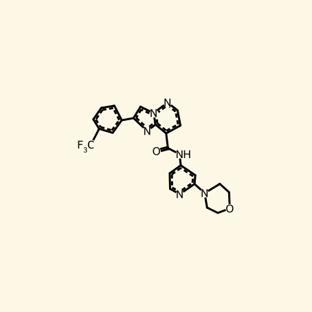 O=C(Nc1ccnc(N2CCOCC2)c1)c1ccnn2cc(-c3cccc(C(F)(F)F)c3)nc12